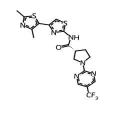 Cc1nc(C)c(-c2csc(NC(=O)[C@@H]3CCN(c4ncc(C(F)(F)F)cn4)C3)n2)s1